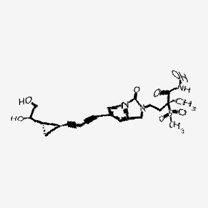 C[C@@](CCN1Cc2cc(C#CC#C[C@H]3C[C@@H]3[C@@H](O)CO)cn2C1=O)(C(=O)NO)S(C)(=O)=O